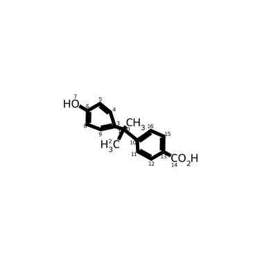 CC(C)(c1ccc(O)cc1)c1ccc(C(=O)O)cc1